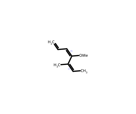 C=C/C=C(OC)\C(C)=C/C